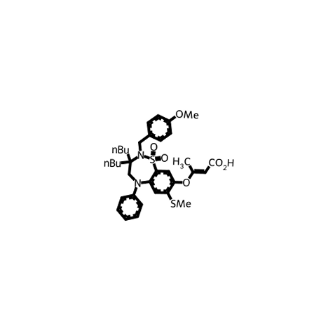 CCCCC1(CCCC)CN(c2ccccc2)c2cc(SC)c(O/C(C)=C/C(=O)O)cc2S(=O)(=O)N1Cc1ccc(OC)cc1